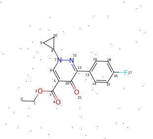 CCOC(=O)c1cn(C2CC2)nc(-c2ccc(F)cc2)c1=O